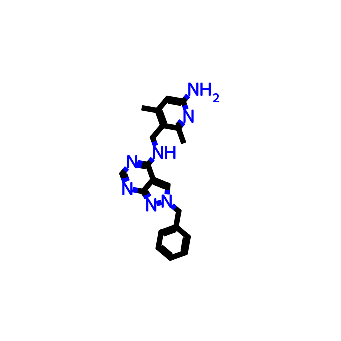 Cc1cc(N)nc(C)c1CNc1ncnc2nn(Cc3ccccc3)cc12